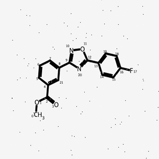 COC(=O)c1cccc(-c2noc(-c3ccc(F)cc3)n2)c1